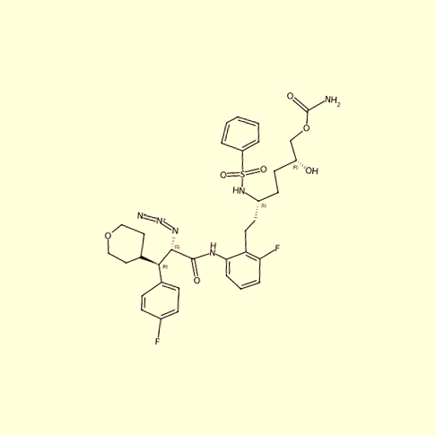 [N-]=[N+]=N[C@H](C(=O)Nc1cccc(F)c1CC[C@@H](CC[C@@H](O)COC(N)=O)NS(=O)(=O)c1ccccc1)[C@@H](c1ccc(F)cc1)C1CCOCC1